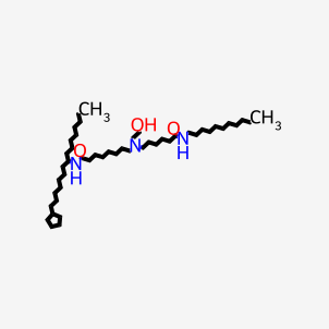 CCCCCCCCCCCNC(=O)CCCCCN(CCO)CCCCCCCC(=O)NC(CCCCCCCC)CCCCCCCC1CCCC1